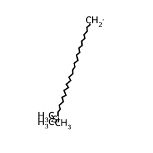 [CH2]CCCCCCCCCCCCCCCCCCCCCCCCCCC[Si](C)(C)C